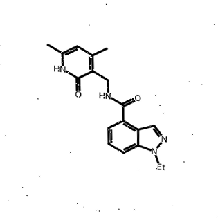 CCn1ncc2c(C(=O)NCc3c(C)cc(C)[nH]c3=O)cccc21